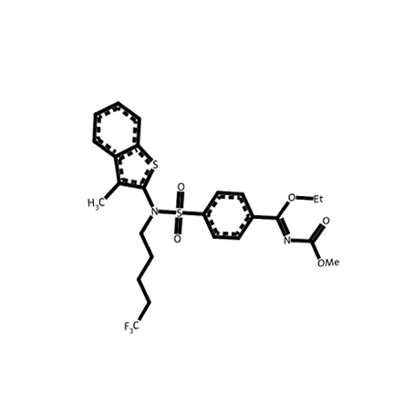 CCOC(=NC(=O)OC)c1ccc(S(=O)(=O)N(CCCCC(F)(F)F)c2sc3ccccc3c2C)cc1